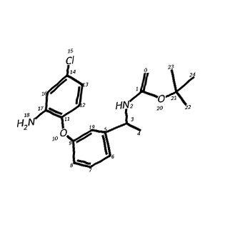 C=C(NC(C)c1cccc(Oc2ccc(Cl)cc2N)c1)OC(C)(C)C